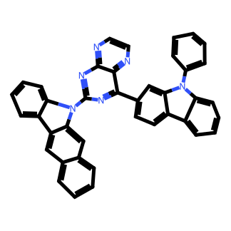 c1ccc(-n2c3ccccc3c3ccc(-c4nc(-n5c6ccccc6c6cc7ccccc7cc65)nc5nccnc45)cc32)cc1